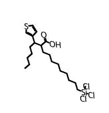 CCCCCC(c1ccsc1)C(CCCCCCCCC[Si](Cl)(Cl)Cl)C(=O)O